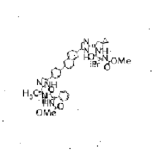 COC(=O)N[C@H](C(=O)N(C(C)C)[C@@H](C)c1ncc(-c2ccc(-c3ccc4cc(-c5cnc([C@@H]6CC7(CC7)CN6C(=O)[C@@H](NC(=O)OC)C(C)C)[nH]5)ccc4c3)cc2)[nH]1)c1ccccc1